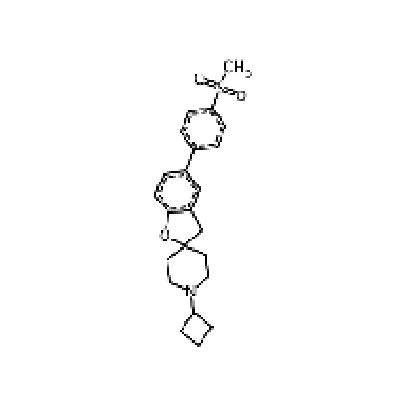 CS(=O)(=O)c1ccc(-c2ccc3c(c2)CC2(CCN(C4CCC4)CC2)O3)cc1